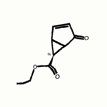 CCOC(=O)[C@H]1C2C=CC(=O)C21